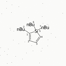 CCCCC1=CC=C[Si]1(CCCC)CCCC